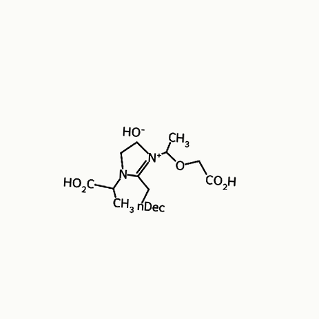 CCCCCCCCCCCC1=[N+](C(C)OCC(=O)O)CCN1C(C)C(=O)O.[OH-]